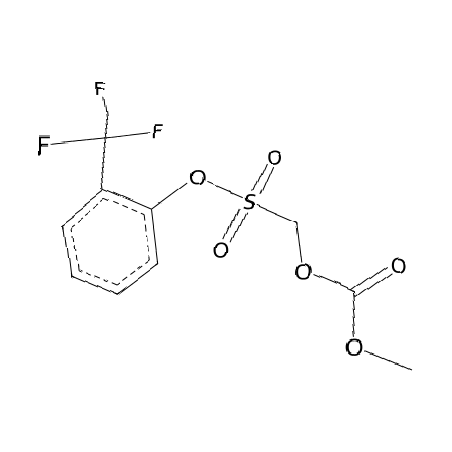 COC(=O)OCS(=O)(=O)Oc1ccccc1C(F)(F)F